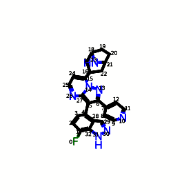 Fc1ccc(-c2c(-c3ccncc3)nn3c(C4CC5CCC(C4)N5)ccnc23)c2cn[nH]c12